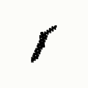 CCCCCCCCCc1ccc(-c2ccc(-c3ccc(C4CCC(C5CCC(CCC)CC5)CC4)cc3F)cc2)c(F)c1F